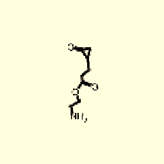 NCCOC(=O)CCC1CC1=O